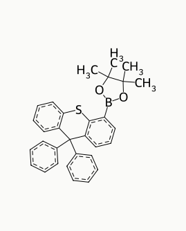 CC1(C)OB(c2cccc3c2Sc2ccccc2C3(c2ccccc2)c2ccccc2)OC1(C)C